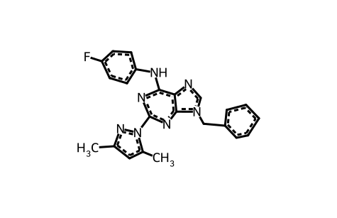 Cc1cc(C)n(-c2nc(Nc3ccc(F)cc3)c3ncn(Cc4ccccc4)c3n2)n1